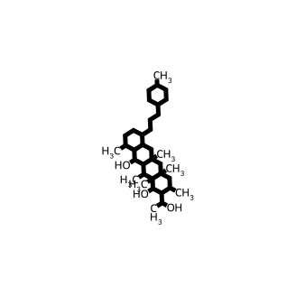 CC1CCC(CCCC2CCC(C)C3C(O)C4C(C)C5(C)C(O)C(C(C)O)C(C)CC5(C)CC4(C)CC23)CC1